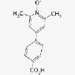 Cc1cc(-c2ccc(C(=O)O)cc2)cc(C)[n+]1[O-]